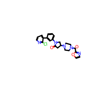 O=C(c1ncco1)N1CCN(C2CC(=O)N(c3cccc(-c4cccnc4Cl)c3)C2)CC1